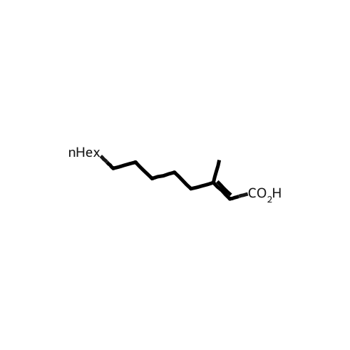 CCCCCCCCCCC/C(C)=C/C(=O)O